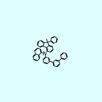 CC1(c2ccccc2)c2ccccc2-c2c(N(c3cccc(-c4cccc(-c5ccccc5)c4)c3)c3cccc4ccccc34)cccc21